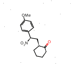 COc1ccc([C@@H](C[C@@H]2CCCCC2=O)[N+](=O)[O-])cc1